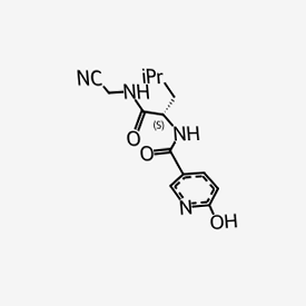 CC(C)C[C@H](NC(=O)c1ccc(O)nc1)C(=O)NCC#N